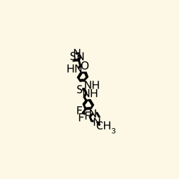 CN1CCN(c2ccc(CNC(=S)Nc3ccc(NC(=O)c4csnn4)cc3)cc2C(F)(F)F)CC1